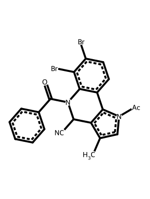 CC(=O)n1cc(C)c2c1-c1ccc(Br)c(Br)c1N(C(=O)c1ccccc1)C2C#N